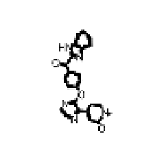 CN1CCC(c2nccnc2Oc2ccc(C(=O)c3nc4ccccc4[nH]3)cc2)=CC1=O